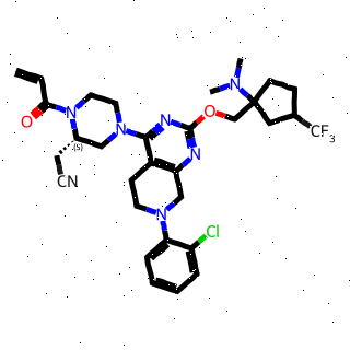 C=CC(=O)N1CCN(c2nc(OCC3(N(C)C)CCC(C(F)(F)F)C3)nc3c2CCN(c2ccccc2Cl)C3)C[C@@H]1CC#N